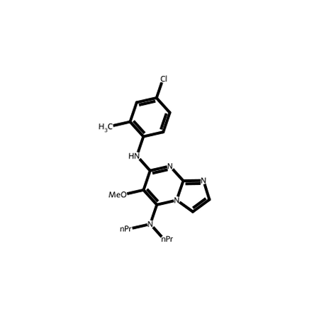 CCCN(CCC)c1c(OC)c(Nc2ccc(Cl)cc2C)nc2nccn12